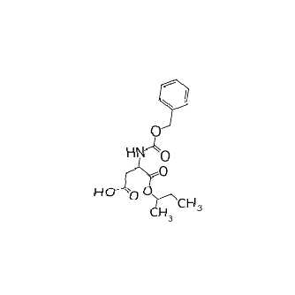 CCC(C)OC(=O)C(CC(=O)O)NC(=O)OCc1ccccc1